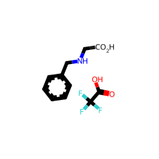 O=C(O)C(F)(F)F.O=C(O)CNCc1ccccc1